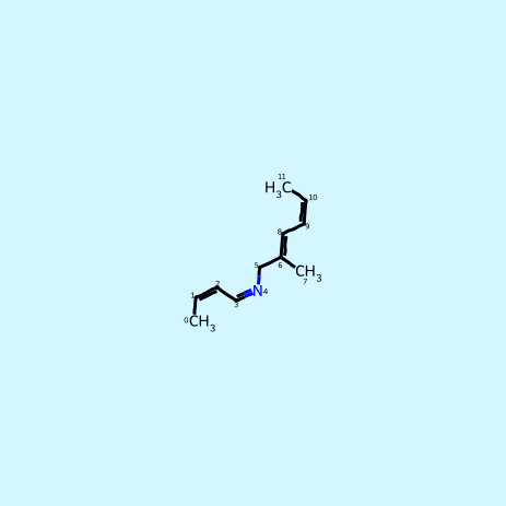 C/C=C\C=N/C/C(C)=C/C=C\C